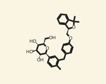 Cc1ccc([C@@H]2O[C@H](CO)[C@@H](O)[C@H](O)[C@H]2O)cc1Cc1ccc(OC[C@@H]2OC(C)(C)c3ccccc32)cc1